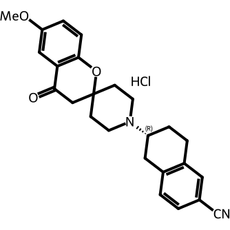 COc1ccc2c(c1)C(=O)CC1(CCN([C@@H]3CCc4cc(C#N)ccc4C3)CC1)O2.Cl